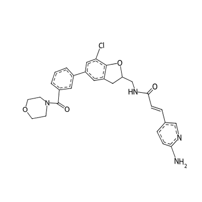 Nc1ccc(C=CC(=O)NCC2Cc3cc(-c4cccc(C(=O)N5CCOCC5)c4)cc(Cl)c3O2)cn1